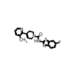 Cc1cccnc1C1=CCN(C(=O)Nc2nc3ccc(F)cc3s2)CC1